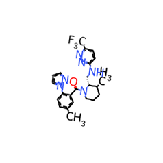 Cc1ccc(-n2cccn2)c(C(=O)N2CCCC(C)[C@H]2CNc2ccc(C(F)(F)F)nn2)c1